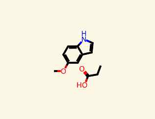 CCC(=O)O.COc1ccc2[nH]ccc2c1